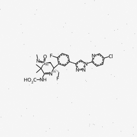 CN=[S@@]1(=O)C[C@@](CF)(c2cc(-c3cn(-c4ccc(Cl)cn4)nn3)ccc2F)N=C(NC(=O)O)C1(C)C